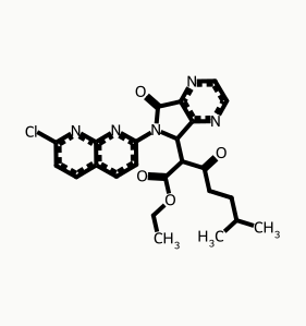 CCOC(=O)C(C(=O)CCC(C)C)C1c2nccnc2C(=O)N1c1ccc2ccc(Cl)nc2n1